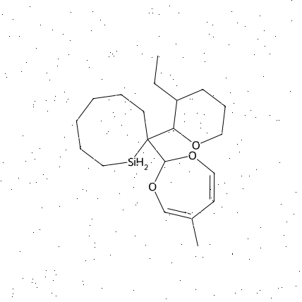 CCC1CCCO[C]1C1(C2OC=CC(C)=CO2)CCCCCC[SiH2]1